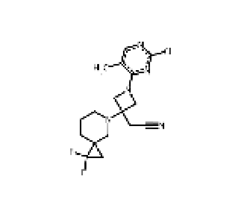 Cc1cnc(Cl)nc1N1CC(CC#N)(N2CCCC3(C2)CC3(F)F)C1